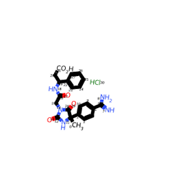 CC1(c2ccc(C(=N)N)cc2)NC(=O)N(CC(=O)NC(CC(=O)O)c2ccccc2)C1=O.Cl